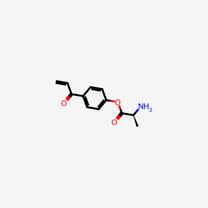 C=CC(=O)c1ccc(OC(=O)[C@H](C)N)cc1